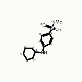 CNS(=O)(=O)c1ccc(NC2CCCCC2)cc1